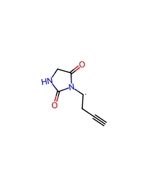 C#CC[CH]N1C(=O)CNC1=O